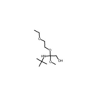 CCOCCOC(CO)(NC(C)(C)C)OC